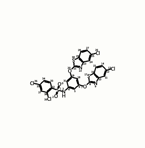 O=S(=O)(Nc1cc(Oc2nc3cc(Cl)ccc3s2)cc(Oc2nc3cc(Cl)ccc3s2)c1)c1ccc(Cl)cc1Cl